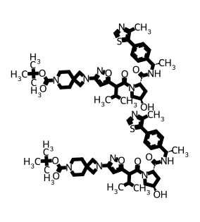 Cc1ncsc1-c1ccc([C@H](C)NC(=O)[C@@H]2C[C@@H](O)CN2C(=O)C(c2cc(N3CC4(CCN(C(=O)OC(C)(C)C)CC4)C3)no2)C(C)C)cc1.Cc1ncsc1-c1ccc([C@H](C)NC(=O)[C@@H]2C[C@@H](O)CN2C(=O)C(c2cc(N3CC4(CCN(C(=O)OC(C)(C)C)CC4)C3)no2)C(C)C)cc1